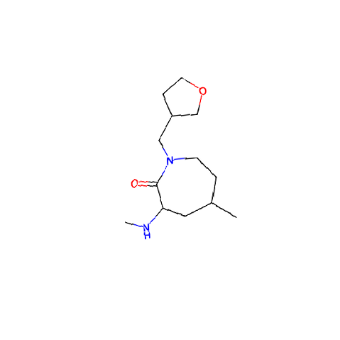 CNC1CC(C)CCN(CC2CCOC2)C1=O